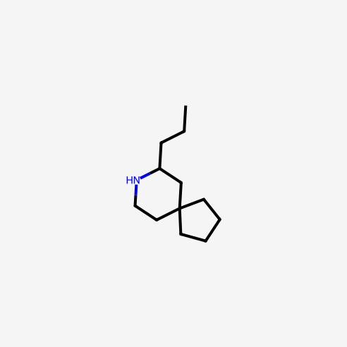 CCCC1CC2(CCCC2)CCN1